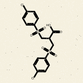 O=C(O)C(CS(=O)(=O)c1ccc(Cl)cc1)CS(=O)(=O)c1ccc(Cl)cc1